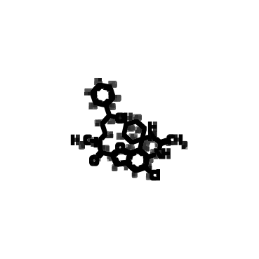 C=C1Nc2c(Cl)cc3cc(C(=O)N(C)CCC(O)c4ccccc4)oc3c2C2(CCCCC2)N1